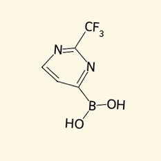 OB(O)c1ccnc(C(F)(F)F)n1